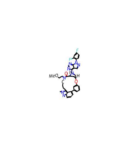 COCCN1CCCc2c3c(cccc3nn2C)-c2cccc(c2)O[C@H]2C[C@@H](C1=O)N(c1ncnc3c1cnn3-c1ccc(F)cc1F)C2